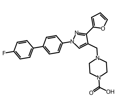 O=C(O)N1CCN(Cc2cn(-c3ccc(-c4ccc(F)cc4)cc3)nc2-c2ccco2)CC1